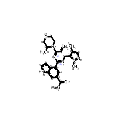 C=C/C(=N\C(=N/Cc1c(C)cnn1C)c1cc(C(=O)OC)cc2[nH]ccc12)N1CCOCC1C